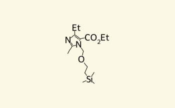 CCOC(=O)c1c(CC)nc(C)n1COCC[Si](C)(C)C